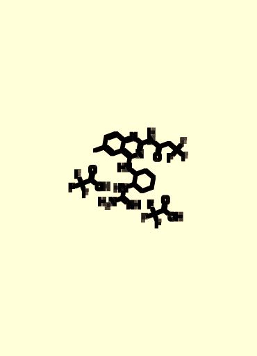 Cc1ccc2nc(NC(=O)CC(F)(F)F)nc(NC3CCCCC3NC(=N)N)c2c1.O=C(O)C(F)(F)F.O=C(O)C(F)(F)F